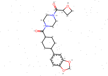 O=C(C1CCC(c2ccc3c(c2)OCO3)CC1)N1CCN(C(=O)C2CCO2)CC1